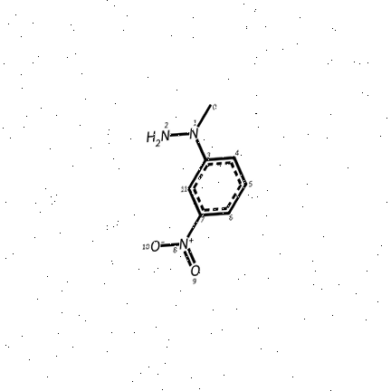 CN(N)c1cccc([N+](=O)[O-])c1